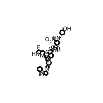 CC(C)Oc1nc2[nH]cc(F)c2cc1Oc1cc(N2CCC3(CC2)CN([C@H]2CCC[C@H]2c2ccccc2C(C)C)C3)ccc1C(=O)NS(=O)(=O)c1ccc(NC[C@H]2CC[C@](C)(O)CC2)c([N+](=O)[O-])c1